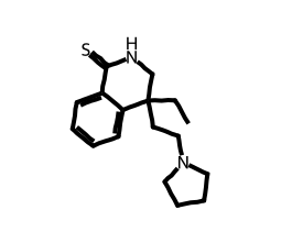 CCC1(CCN2CCCC2)CNC(=S)c2ccccc21